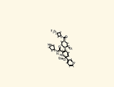 CCOC1(c2cccnc2)C=CC(N2CCN(C(=O)[C@H]3C[C@H](C(F)(F)F)C3)C[C@H]2CC)=C(C(=O)N[C@@H]2CCNC2)N1